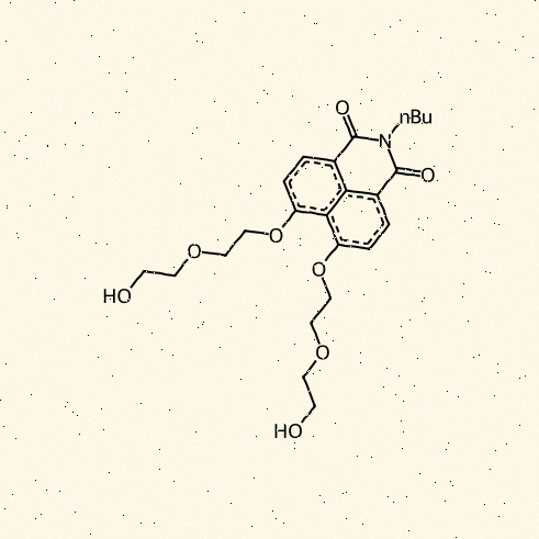 CCCCN1C(=O)c2ccc(OCCOCCO)c3c(OCCOCCO)ccc(c23)C1=O